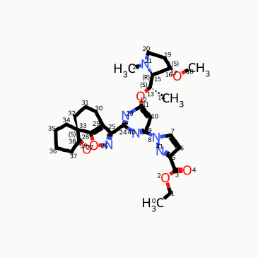 CCOC(=O)c1ccn(-c2cc(O[C@@H](C)[C@@H]3[C@@H](OC)CCN3C)nc(-c3noc4c3CCC[C@@]43CCCCC3=O)n2)n1